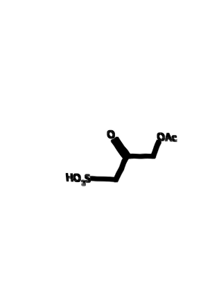 CC(=O)OCC(=O)CS(=O)(=O)O